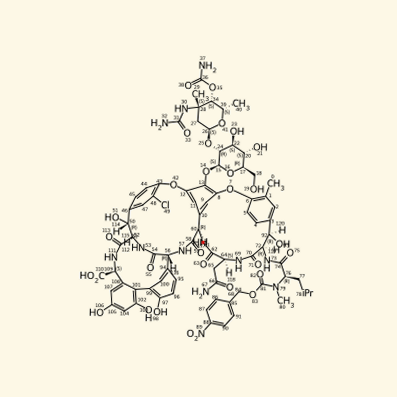 Cc1cc2ccc1Oc1cc3cc(c1O[C@@H]1O[C@H](CO)[C@@H](O)[C@H](O)[C@H]1O[C@H]1C[C@](C)(NC(N)=O)[C@H](OC(N)=O)[C@H](C)O1)Oc1ccc(cc1Cl)[C@@H](O)[C@@H]1NC(=O)[C@H](NC(=O)[C@@H]3NC(=O)[C@H](CC(N)=O)NC(=O)[C@H](NC(=O)[C@@H](CC(C)C)N(C)C(=O)OCc3ccc([N+](=O)[O-])cc3)[C@@H]2O)c2ccc(O)c(c2)-c2c(O)cc(O)cc2[C@@H](C(=O)O)NC1=O